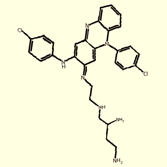 NCCC(N)CNCCN=c1cc2n(-c3ccc(Cl)cc3)c3ccccc3nc-2cc1Nc1ccc(Cl)cc1